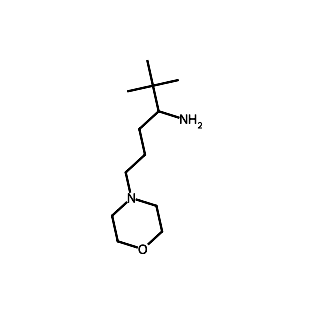 CC(C)(C)C(N)CCCN1CCOCC1